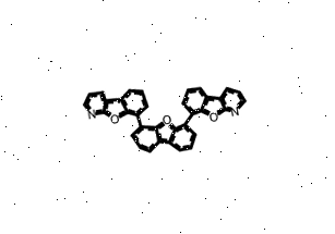 c1cnc2oc3c(-c4cccc5c4oc4c(-c6cccc7c6oc6ncccc67)cccc45)cccc3c2c1